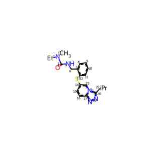 CCN(C)C(=O)NCc1ccccc1Sc1ccc2nnc(C(C)C)n2c1